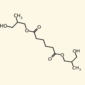 CC(CO)COC(=O)CCCCC(=O)OCC(C)CO